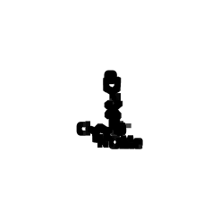 COc1ncc(Cl)cc1[S+]([O-])N1CC2(CN(C3CCOCC3)C2)C1